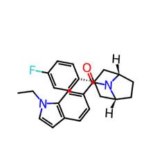 CCn1ccc2ccc(C(=O)N3[C@@H]4CC[C@H]3C[C@@H](c3ccc(F)cc3)C4)cc21